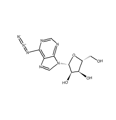 [N-]=[N+]=Nc1ncnc2c1ncn2[C@@H]1O[C@H](CO)[C@@H](O)[C@H]1O